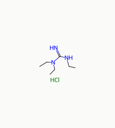 CCNC(=N)N(CC)CC.Cl